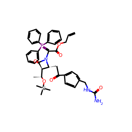 C=CCOC(=O)C(N1C(=O)[C@H]([C@@H](C)O[Si](C)(C)C)[C@H]1CC(=O)c1ccc(CNC(N)=O)cc1)=P(c1ccccc1)(c1ccccc1)c1ccccc1